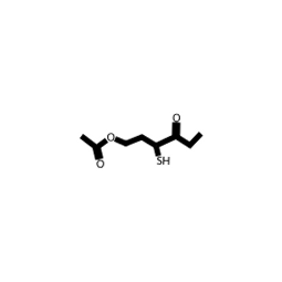 CCC(=O)C(S)CCOC(C)=O